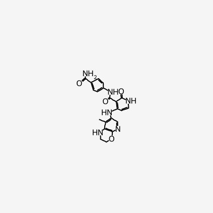 Cc1c(Nc2cc[nH]c(=O)c2C(=O)Nc2ccc(C(N)=O)cc2)cnc2c1NCCO2